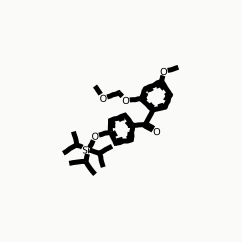 COCOc1cc(OC)ccc1C(=O)c1ccc(O[Si](C(C)C)(C(C)C)C(C)C)cc1